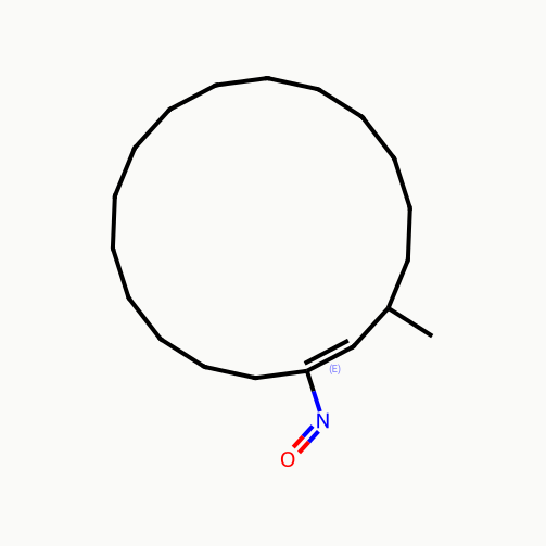 CC1/C=C(/N=O)CCCCCCCCCCCCCCC1